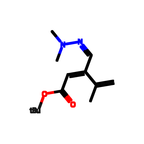 C=C(C)C(/C=N\N(C)C)=C\C(=O)OC(C)(C)C